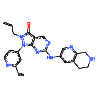 C=CCn1c(=O)c2cnc(Nc3cnc4c(c3)CCNC4)nc2n1-c1ccnc(C(C)(C)C)c1